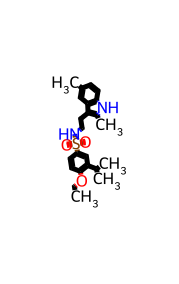 CCOc1ccc(S(=O)(=O)NCCc2c(C)[nH]c3ccc(C)cc23)cc1C(C)C